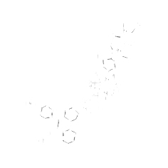 [2H]C1([2H])N(CC2CCN(c3ccc(C(=C(CCCl)c4ccccc4)c4ccc(O)cc4)cc3)CC2)C([2H])([2H])C([2H])([2H])N(c2cc3c(c(F)c2F)C(=O)N(C2CCC(=O)NC2=O)C3=O)C1([2H])[2H]